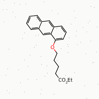 CCOC(=O)CCCCOc1cccc2cc3ccccc3cc12